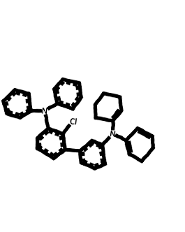 Clc1c(-c2cccc(N(C3=CCCC=C3)C3=CCCCC3)c2)cccc1N(c1ccccc1)c1ccccc1